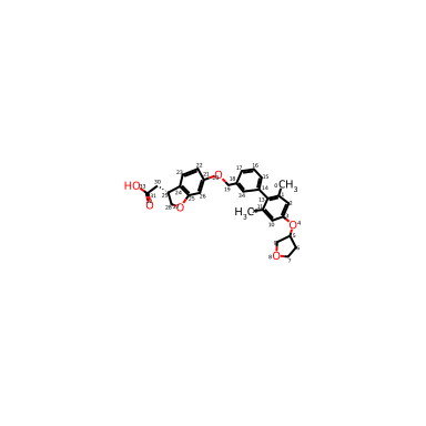 Cc1cc(OC2CCOC2)cc(C)c1-c1cccc(COc2ccc3c(c2)OC[C@@H]3CC(=O)O)c1